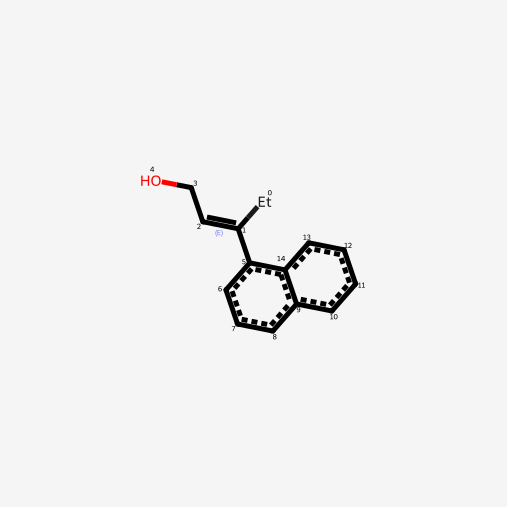 CC/C(=C\CO)c1cccc2ccccc12